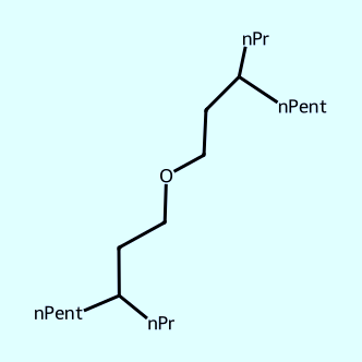 CCCCCC(CCC)CCOCCC(CCC)CCCCC